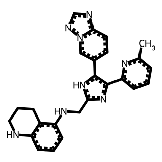 Cc1cccc(-c2nc(CNc3cccc4c3CCCN4)[nH]c2-c2ccc3ncnn3c2)n1